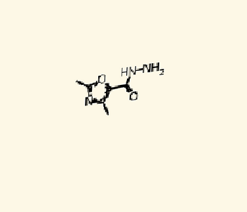 Cc1nc(C)c(C(=O)NN)o1